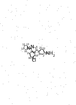 Nc1ccc(C2CN=C(N3CCCC3)c3ccc(Cl)cc32)cc1